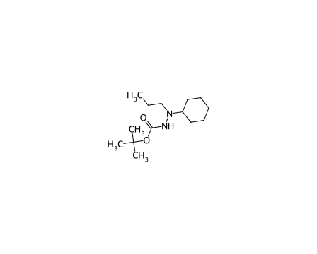 CCCN(NC(=O)OC(C)(C)C)C1CCCCC1